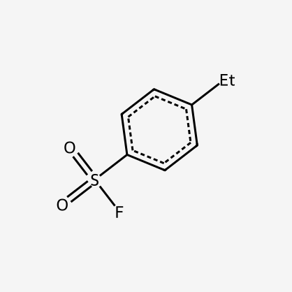 CCc1ccc(S(=O)(=O)F)cc1